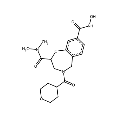 CN(C)C(=O)C1CN(C(=O)C2CCOCC2)Cc2ccc(C(=O)NO)cc2O1